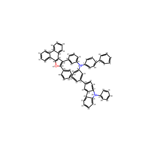 c1ccc(-c2ccc(N(c3cccc(-c4ccc5c(c4)c4ccccc4n5-c4ccccc4)c3)c3cccc(-c4c(-c5ccccc5)oc5c6ccccc6c6ccccc6c45)c3)cc2)cc1